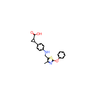 Cc1nc(Oc2ccccc2)sc1CNc1ccc(C2CC2C(=O)O)cc1